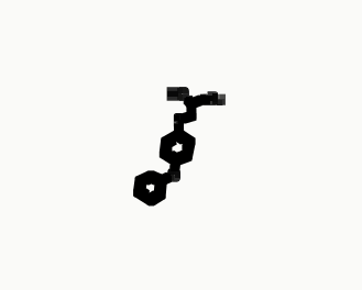 CCCCC(O)CSc1ccc(Oc2ccccc2)cc1